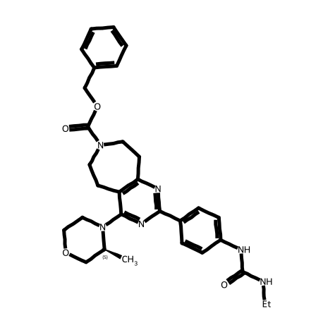 CCNC(=O)Nc1ccc(-c2nc3c(c(N4CCOC[C@@H]4C)n2)CCN(C(=O)OCc2ccccc2)CC3)cc1